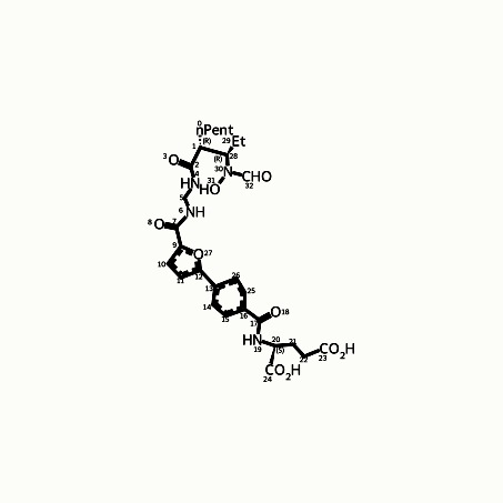 CCCCC[C@@H](C(=O)NCNC(=O)c1ccc(-c2ccc(C(=O)N[C@@H](CCC(=O)O)C(=O)O)cc2)o1)[C@@H](CC)N(O)C=O